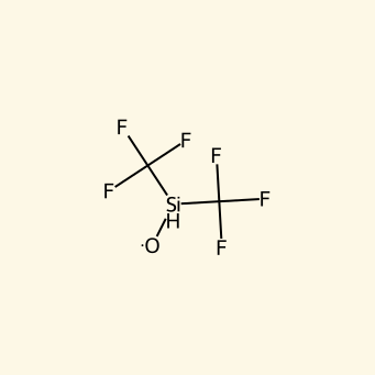 [O][SiH](C(F)(F)F)C(F)(F)F